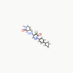 CN1CCC(CNc2cnn(-c3ccc(C4CCCC4)cc3)c(=O)c2Cl)CC1=O